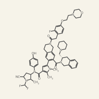 Cc1c(C(=O)N(c2ccc(O)cc2)C2CC(C#N)N(C(F)F)C2C)cc(-c2cc3c(cc2C(=O)N2Cc4ccccc4C[C@H]2CN2CCCCC2)CN(C(=O)Cc2ccc(OCCN4CCOCC4)cc2F)CC3)n1C